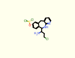 NC(CCCl)C1Nc2ncccc2Cc2ccccc21.[O-][S+](Cl)Cl